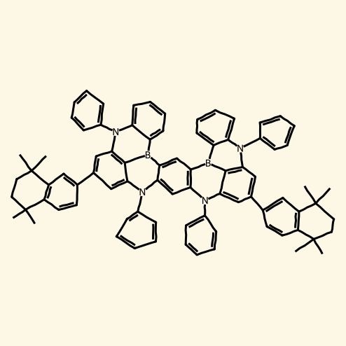 CC1(C)CCC(C)(C)c2cc(-c3cc4c5c(c3)N(c3ccccc3)c3cc6c(cc3B5c3ccccc3N4c3ccccc3)B3c4ccccc4N(c4ccccc4)c4cc(-c5ccc7c(c5)C(C)(C)CCC7(C)C)cc(c43)N6c3ccccc3)ccc21